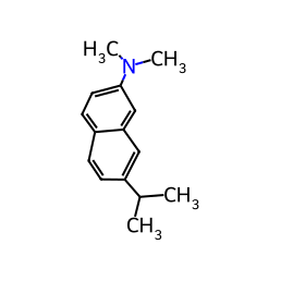 CC(C)c1ccc2ccc(N(C)C)cc2c1